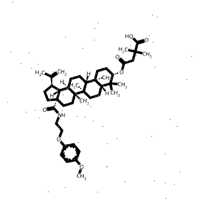 C=C(C)[C@@H]1CC[C@]2(C(=O)NCCOc3ccc(OC)cc3)CC[C@]3(C)[C@H](CC[C@@H]4[C@@]5(C)CC[C@H](OC(=O)CC(C)(C)C(=O)O)C(C)(C)[C@@H]5CC[C@]43C)[C@@H]12